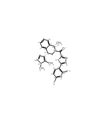 Cc1c([C@H]2CN(C(=O)c3nnc(-c4ccc(F)nc4F)s3)[C@@H](C)c3ccccc32)cnn1C